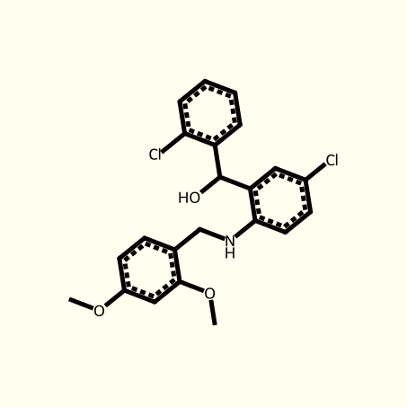 COc1ccc(CNc2ccc(Cl)cc2C(O)c2ccccc2Cl)c(OC)c1